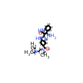 CCN(CC)CCN(CC)C(=O)c1ccc2[nH]c(-c3c(N)c4ccccc4[nH]c3=O)nc2c1